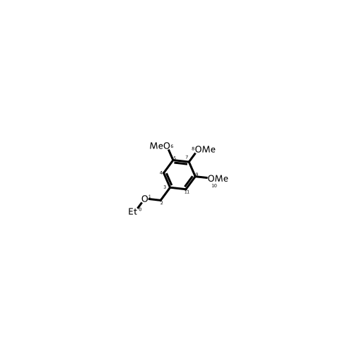 [CH2]COCc1cc(OC)c(OC)c(OC)c1